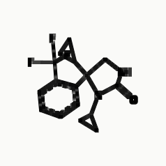 O=C1NCC(c2ccccc2C(F)(F)F)(C2CC2)N1C1CC1